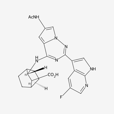 CC(=O)Nc1cc2c(N[C@H]3C4CCC(CC4)[C@@H]3C(=O)O)nc(-c3c[nH]c4ncc(F)cc34)nn2c1